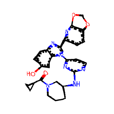 O=C(C1CC1)N1CCC[C@H](Nc2nccc(-n3c(-c4ccc5c(n4)OCO5)nc4ccc(O)cc43)n2)C1